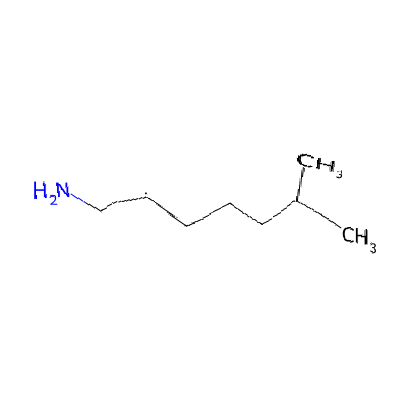 CC(C)CCC[CH]CN